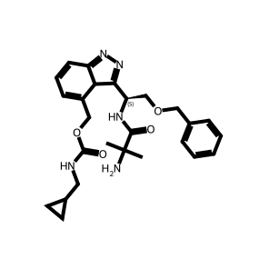 CC(C)(N)C(=O)N[C@H](COCc1ccccc1)C1=NN=C2C=CC=C(COC(=O)NCC3CC3)C21